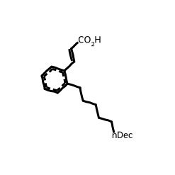 CCCCCCCCCCCCCCCc1ccccc1C=CC(=O)O